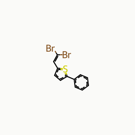 BrC(Br)=Cc1ccc(-c2ccccc2)s1